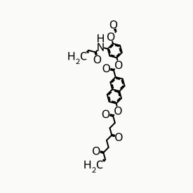 C=CC(=O)CCC(=O)CCC(=O)Oc1ccc2cc(C(=O)Oc3ccc(OC=O)c(NC(=O)C=C)c3)ccc2c1